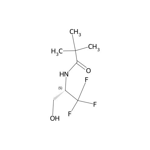 CC(C)(C)C(=O)N[C@@H](CO)C(F)(F)F